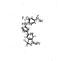 CC(=O)N(C)c1cnc(Nc2nc(-c3cc4c(cn3)N(C(C)C)CC4(C)C)ns2)c(C(F)(F)F)c1